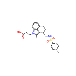 Cc1ccc(S(=O)(=O)NCC2CCc3cccc4c3c2c(C)n4CCC(=O)O)cc1